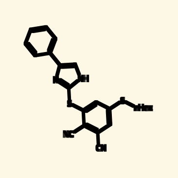 CCCCCCSc1cc(C#N)c(C#N)c(Sc2nc(-c3ccccc3)c[nH]2)c1